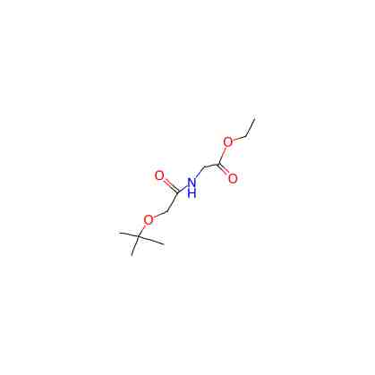 CCOC(=O)CNC(=O)COC(C)(C)C